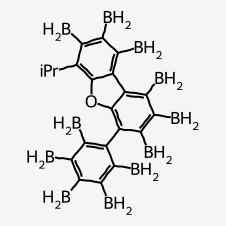 Bc1c(B)c(B)c(-c2c(B)c(B)c(B)c3c2oc2c(C(C)C)c(B)c(B)c(B)c23)c(B)c1B